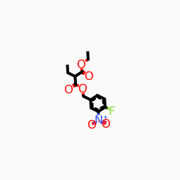 CCOC(=O)C(CC)C(=O)OCc1ccc(F)c([N+](=O)[O-])c1